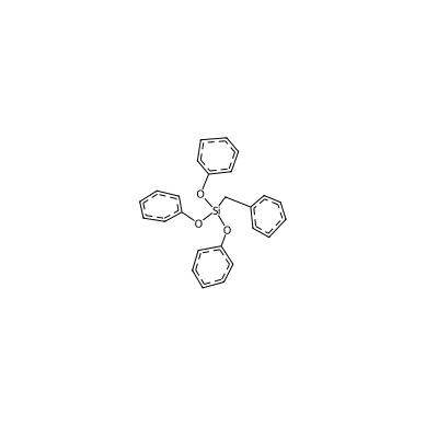 c1ccc(C[Si](Oc2ccccc2)(Oc2ccccc2)Oc2ccccc2)cc1